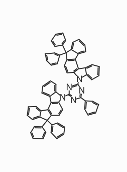 c1ccc(-c2nc(-n3c4ccccc4c4c5c(ccc43)C(c3ccccc3)(c3ccccc3)c3ccccc3-5)nc(-n3c4ccccc4c4c5c(ccc43)C(c3ccccc3)(c3ccccc3)c3ccccc3-5)n2)cc1